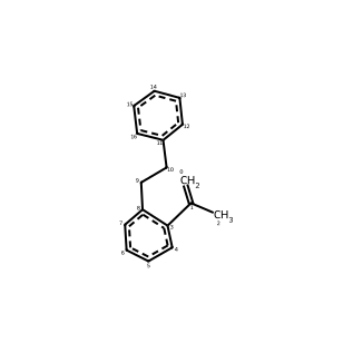 C=C(C)c1ccccc1CCc1ccccc1